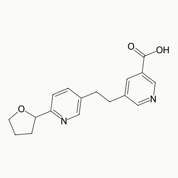 O=C(O)c1cncc(CCc2ccc(C3CCCO3)nc2)c1